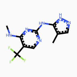 CNc1nc(Nc2[nH]ncc2C)ncc1C(F)(F)F